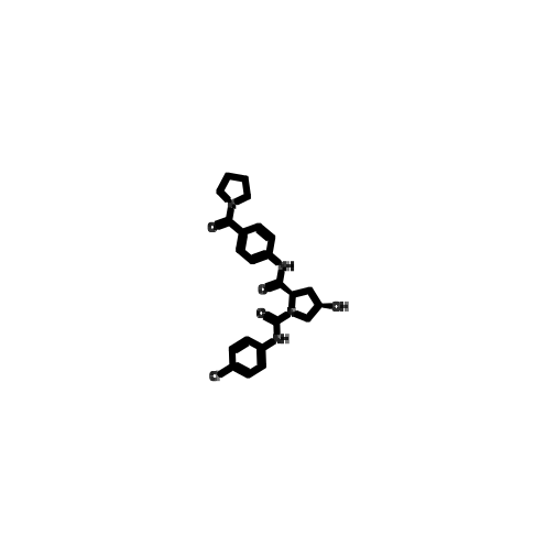 O=C(Nc1ccc(C(=O)N2CCCC2)cc1)[C@H]1C[C@@H](O)CN1C(=O)Nc1ccc(Cl)cc1